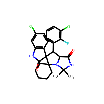 CC1(C)NC(=O)C2C(c3cccc(Cl)c3F)C3(C(=O)Nc4cc(Cl)ccc43)C3(CCCCC3)N21